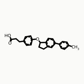 Cc1ccc(-c2ccc3c(c2)CCC3Oc2ccc(CCC(=O)O)cc2)cc1